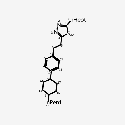 CCCCCCCc1nnc(CCc2ccc(C3CCC(CCCCC)CC3)cc2)s1